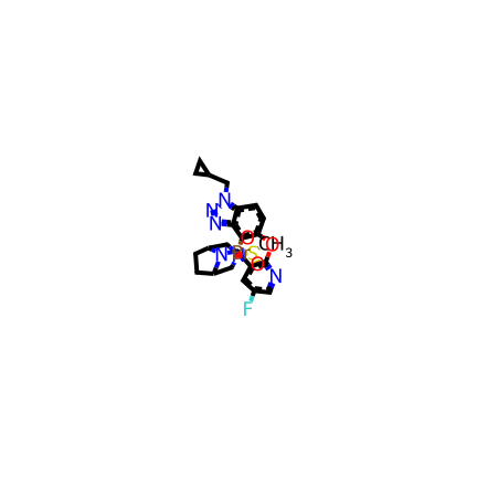 CS(=O)(=O)N1CC2CCC(C1)N2Cc1cc(F)cnc1Oc1ccc2c(nnn2CC2CC2)c1Br